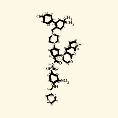 CC1(C)CCC(CN2CCN(c3ccc(C(=O)NS(=O)(=O)c4ccc(NC[C@H]5COCCO5)c([N+](=O)[O-])c4)c(N4CCSc5nc6[nH]ccc6cc54)c3)CC2)=C(c2ccc(Cl)cc2)C1